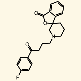 O=C(CCCN1CCCC2(C1)OC(=O)c1ccccc12)c1ccc(F)cc1